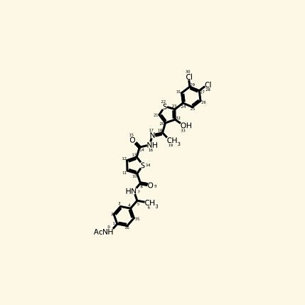 CC(=O)Nc1ccc(C(C)NC(=O)c2ccc(C(=O)N/N=C(\C)c3csc(-c4ccc(Cl)c(Cl)c4)c3O)s2)cc1